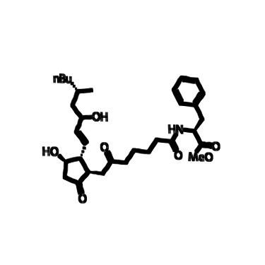 CCCC[C@H](C)CC(O)/C=C/[C@H]1[C@H](O)CC(=O)[C@@H]1CC(=O)CCCCC(=O)N[C@@H](Cc1ccccc1)C(=O)OC